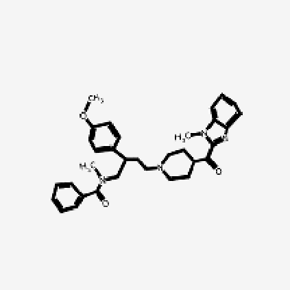 COc1ccc(C(CCN2CCC(C(=O)c3nc4ccccc4n3C)CC2)CN(C)C(=O)c2ccccc2)cc1